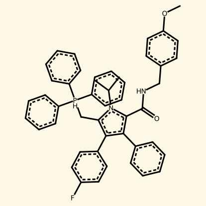 COc1ccc(CNC(=O)c2c(-c3ccccc3)c(-c3ccc(F)cc3)c(C[PH](c3ccccc3)(c3ccccc3)c3ccccc3)n2C(C)C)cc1